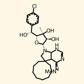 CN/N=C1/N=CNC2C1C1(CCCCCCCC1)CN2[C@@H]1O[C@H]([C@H](O)c2ccc(Cl)cc2)[C@@](C)(O)[C@H]1O